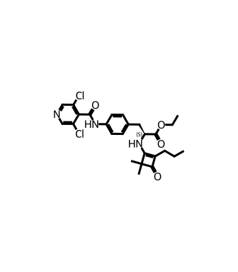 CCCC1=C(N[C@@H](Cc2ccc(NC(=O)c3c(Cl)cncc3Cl)cc2)C(=O)OCC)C(C)(C)C1=O